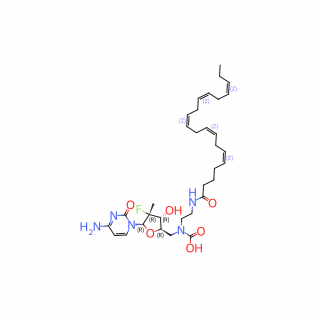 CC/C=C\C/C=C\C/C=C\C/C=C\C/C=C\CCCC(=O)NCCN(C[C@H]1O[C@@H](n2ccc(N)nc2=O)[C@](C)(F)[C@@H]1O)C(=O)O